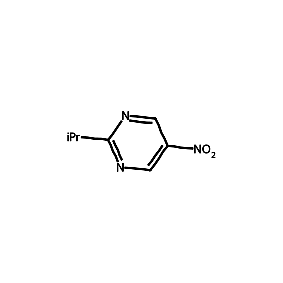 CC(C)c1ncc([N+](=O)[O-])cn1